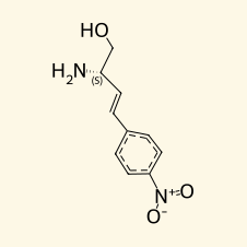 N[C@@H](C=Cc1ccc([N+](=O)[O-])cc1)CO